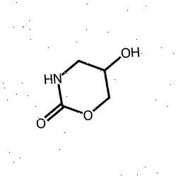 O=C1NCC(O)CO1